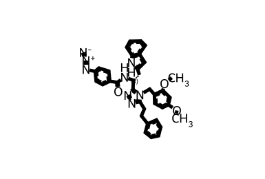 COc1ccc(Cn2c(CCc3ccccc3)nnc2[C@@H](Cc2cc3ccccc3[nH]2)NC(=O)c2ccc(N=[N+]=[N-])cc2)c(OC)c1